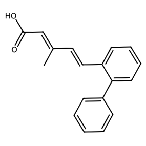 CC(/C=C/c1ccccc1-c1ccccc1)=C\C(=O)O